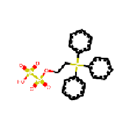 O=S(=O)(O)S(=O)(=O)OCCS(c1ccccc1)(c1ccccc1)c1ccccc1